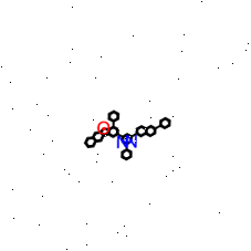 c1ccc(-c2ccc3cc(-c4cc(-c5cc(-c6ccccc6)c6oc7cc8ccccc8cc7c6c5)nc(-c5ccccc5)n4)ccc3c2)cc1